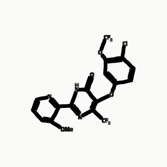 COc1cccnc1-c1nc(C(F)(F)F)c(Oc2ccc(Cl)c(OC(F)(F)F)c2)c(=O)[nH]1